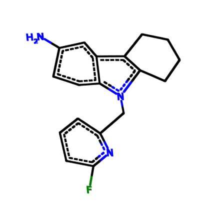 Nc1ccc2c(c1)c1c(n2Cc2cccc(F)n2)CCCC1